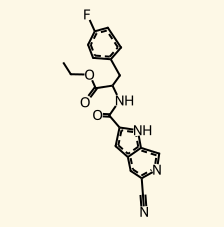 CCOC(=O)C(Cc1ccc(F)cc1)NC(=O)c1cc2cc(C#N)ncc2[nH]1